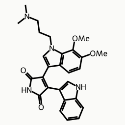 COc1ccc2c(C3=C(c4c[nH]c5ccccc45)C(=O)NC3=O)cn(CCCN(C)C)c2c1OC